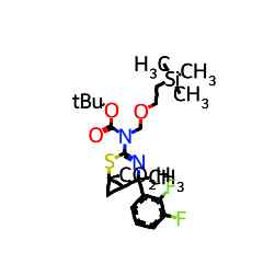 CC(C)(C)OC(=O)N(COCC[Si](C)(C)C)C1=N[C@](C)(c2cccc(F)c2F)C2C[C@]2(C(=O)O)S1